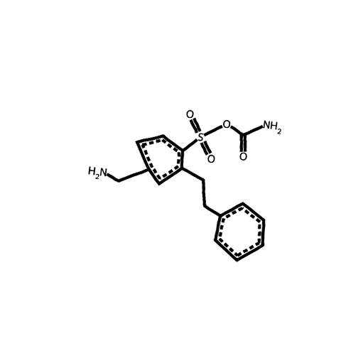 NCc1ccc(S(=O)(=O)OC(N)=O)c(CCc2ccccc2)c1